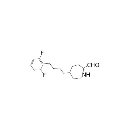 O=CC1CCC(CCCCc2c(F)cccc2F)CCN1